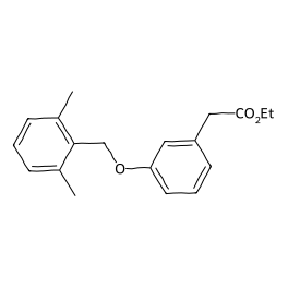 CCOC(=O)Cc1cccc(OCc2c(C)cccc2C)c1